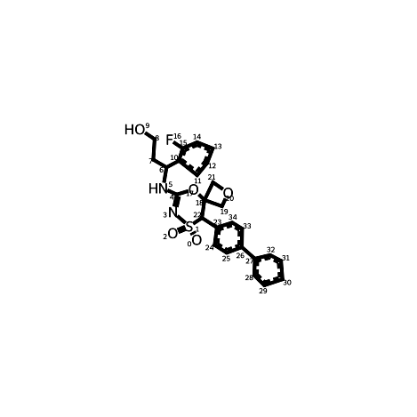 O=S1(=O)N=C(NC(CCO)c2ccccc2F)OC2(COC2)C1c1ccc(-c2ccccc2)cc1